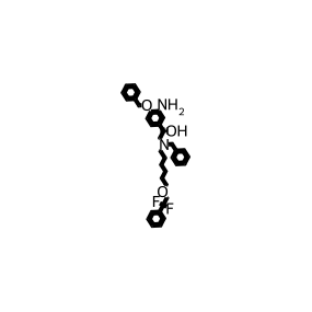 Nc1cc([C@@H](O)CN(CCCCCCOCC(F)(F)c2ccccc2)Cc2ccccc2)ccc1OCc1ccccc1